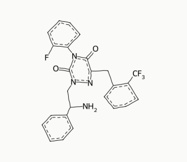 NC(Cn1nc(Cc2ccccc2C(F)(F)F)c(=O)n(-c2ccccc2F)c1=O)c1ccccc1